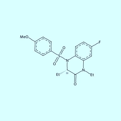 CC[C@H]1C(=O)N(CC)c2cc(F)ccc2N1S(=O)(=O)c1ccc(OC)cc1